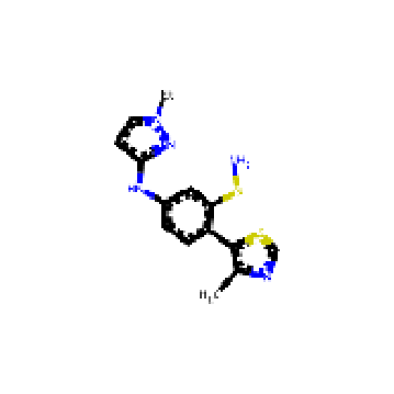 CCn1ccc(Nc2ccc(-c3scnc3C)c(SN)c2)n1